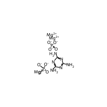 Nc1nc(N)nc(N)n1.O=P([O-])([O-])[O-].O=P([O-])([O-])[O-].[Mg+2].[Mg+2].[Mg+2]